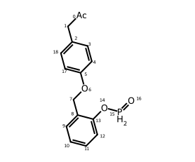 CC(=O)Cc1ccc(OCc2ccccc2O[PH2]=O)cc1